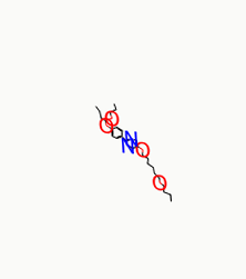 CCCCOCCCCCCOc1cnc(-c2ccc(OC(CCC)OCCC)cc2)nc1